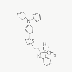 CC1(C)C(C=Cc2ccc(-c3ccc(N(c4ccccc4)c4ccccc4)cc3)s2)=Nc2ccccc21